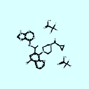 CC(Nc1ncnc2[nH]cnc12)c1cc(Cl)c2cccnc2c1N1CCN(C(=O)C2CC2)CC1.O=C(O)C(F)(F)F.O=C(O)C(F)(F)F